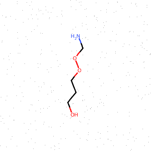 NCOOCCCO